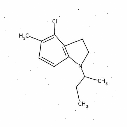 CCC(C)N1CCc2c1ccc(C)c2Cl